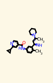 C/C(=C\C(=N)c1cc(NC(=O)c2ccnc(C3CC3)c2)ccc1C)N1CCCCC1